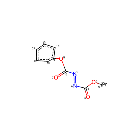 CC(C)OC(=O)N=NC(=O)Oc1ccccc1